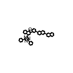 c1ccc(-c2nc(-c3ccccc3)nc(-c3cc4c5cc(-c6ccc7cc(-c8ccc9ccccc9c8)ccc7c6)ccc5oc4c4ccccc34)n2)cc1